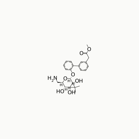 COC(=O)Cc1cccc(-c2ccccc2O[C@H]2O[C@H](CN)[C@@H](O)[C@]3(O)C(C)(C)[C@]23O)c1